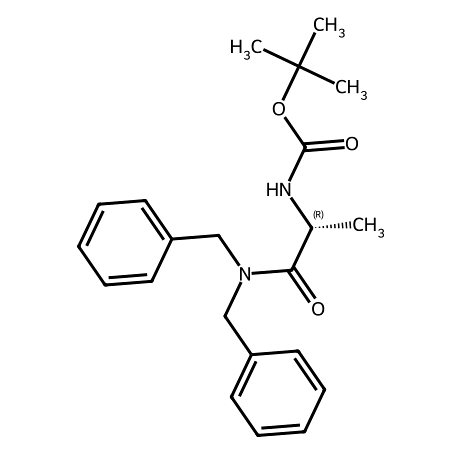 C[C@@H](NC(=O)OC(C)(C)C)C(=O)N(Cc1ccccc1)Cc1ccccc1